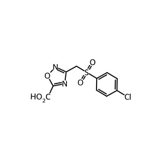 O=C(O)c1nc(CS(=O)(=O)c2ccc(Cl)cc2)no1